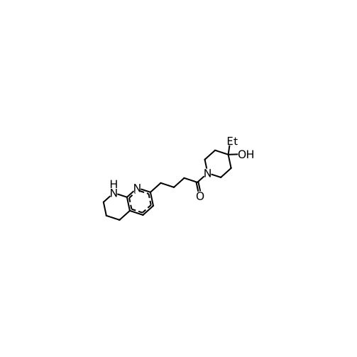 CCC1(O)CCN(C(=O)CCCc2ccc3c(n2)NCCC3)CC1